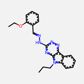 CCCn1c2ccccc2c2nnc(NN=Cc3ccccc3OCC)nc21